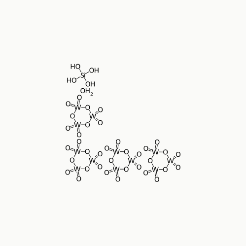 O.O[Si](O)(O)O.[O]=[W]1(=[O])[O][W](=[O])(=[O])[O][W](=[O])(=[O])[O]1.[O]=[W]1(=[O])[O][W](=[O])(=[O])[O][W](=[O])(=[O])[O]1.[O]=[W]1(=[O])[O][W](=[O])(=[O])[O][W](=[O])(=[O])[O]1.[O]=[W]1(=[O])[O][W](=[O])(=[O])[O][W](=[O])(=[O])[O]1